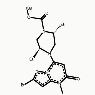 CC[C@@H]1CN(c2cc(=O)n(C)c3cc(Br)nn23)[C@@H](CC)CN1C(=O)OC(C)(C)C